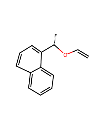 C=CO[C@@H](C)c1cccc2ccccc12